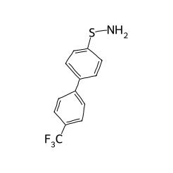 NSc1ccc(-c2ccc(C(F)(F)F)cc2)cc1